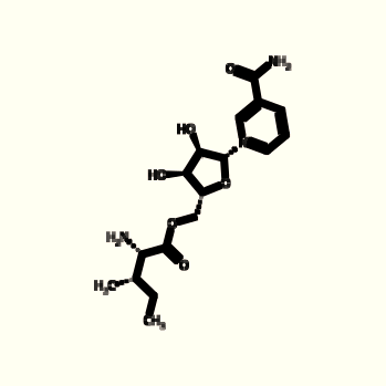 CC[C@H](C)[C@H](N)C(=O)OC[C@H]1O[C@@H]([n+]2cccc(C(N)=O)c2)[C@H](O)[C@@H]1O